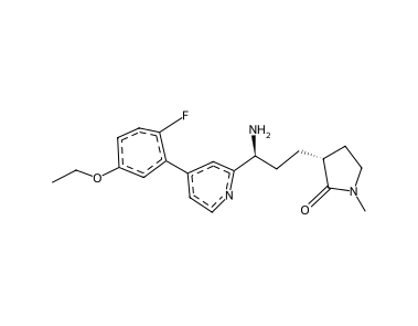 CCOc1ccc(F)c(-c2ccnc([C@@H](N)CC[C@@H]3CCN(C)C3=O)c2)c1